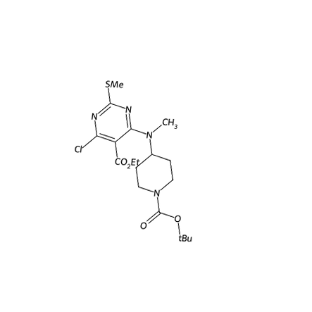 CCOC(=O)c1c(Cl)nc(SC)nc1N(C)C1CCN(C(=O)OC(C)(C)C)CC1